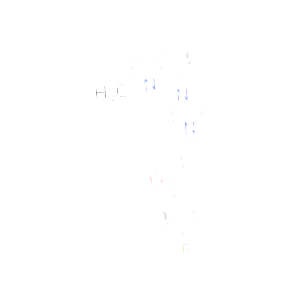 Cc1ccc2cccc(N3CCN(CCCC(=O)c4ccc(F)cc4)CC3)c2n1